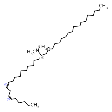 CCCCC/C=C\C/C=C\CCCCCCCCC[C@@H](COCCCCCCCCCCCCCCCC)N(C)C